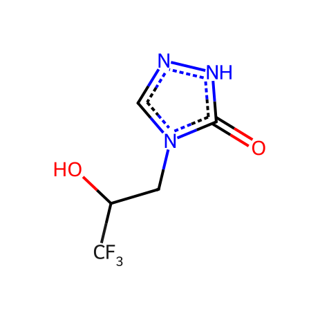 O=c1[nH]ncn1CC(O)C(F)(F)F